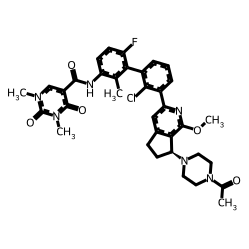 COc1nc(-c2cccc(-c3c(F)ccc(NC(=O)c4cn(C)c(=O)n(C)c4=O)c3C)c2Cl)cc2c1[C@@H](N1CCN(C(C)=O)CC1)CC2